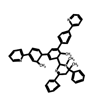 CC1C=C(c2ccccn2)C=CC1C1=CC(C2N=C(c3ccccc3)CC(C)(c3ccccc3)N2C)C(C)C(c2ccc(-c3ccccn3)cc2)=C1